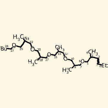 CCC=CC(C)COCC(C)COCC(C)COCC(C)COCC(C)COCC(C)CC